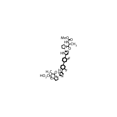 COC(=O)N[C@@H](C)C(=O)N1CCC[C@H]1c1ncc(-c2ccc(-c3ccc(-c4cnc([C@@H]5CCCN5C(=O)[C@H](C)N(C)C(=O)O)[nH]4)c(F)c3)cc2F)[nH]1